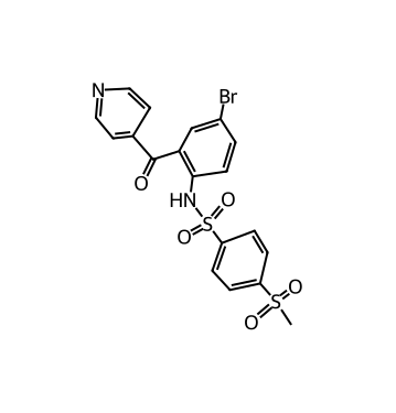 CS(=O)(=O)c1ccc(S(=O)(=O)Nc2ccc(Br)cc2C(=O)c2ccncc2)cc1